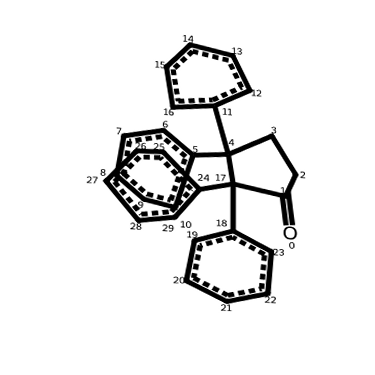 O=C1CCC(c2ccccc2)(c2ccccc2)C1(c1ccccc1)c1ccccc1